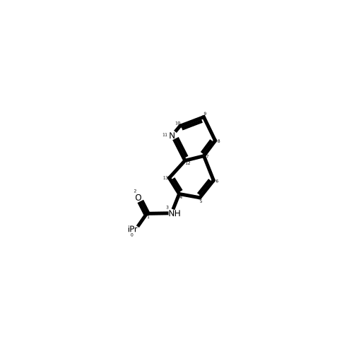 CC(C)C(=O)Nc1ccc2cccnc2c1